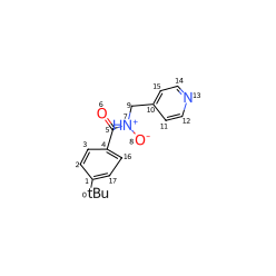 CC(C)(C)c1ccc(C(=O)[NH+]([O-])Cc2ccncc2)cc1